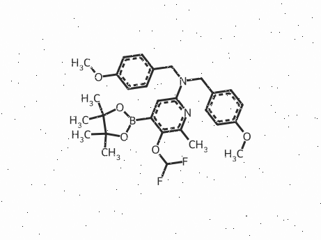 COc1ccc(CN(Cc2ccc(OC)cc2)c2cc(B3OC(C)(C)C(C)(C)O3)c(OC(F)F)c(C)n2)cc1